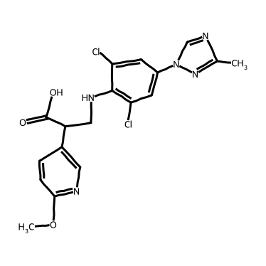 COc1ccc(C(CNc2c(Cl)cc(-n3cnc(C)n3)cc2Cl)C(=O)O)cn1